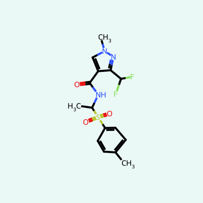 Cc1ccc(S(=O)(=O)C(C)NC(=O)c2cn(C)nc2C(F)F)cc1